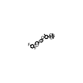 Cc1cc(B2OC(C)(C)C(C)(C)O2)ccc1O[C@@H]1CCN([C@H]2CC[C@@H](c3cc(F)ccc3F)OC2)C1